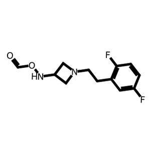 O=CONC1CN(CCc2cc(F)ccc2F)C1